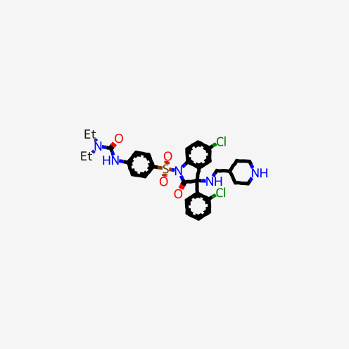 CCN(CC)C(=O)Nc1ccc(S(=O)(=O)N2C(=O)C(NCC3CCNCC3)(c3ccccc3Cl)c3cc(Cl)ccc32)cc1